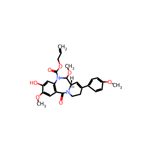 C=CCOC(=O)N1c2cc(O)c(OC)cc2C(=O)N2CCC(c3ccc(OC)cc3)=C[C@H]2C1OC